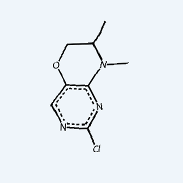 CC1COc2cnc(Cl)nc2N1C